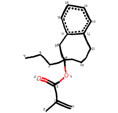 C=C(C)C(=O)OC1(CCC)CCc2ccccc2C1